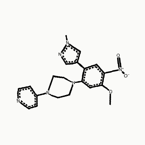 COc1cc(N2CCN(c3ccncc3)CC2)c(-c2cnn(C)c2)cc1[N+](=O)[O-]